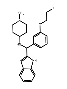 CN1CCC(NC(c2cccc(OCCF)c2)c2nc3ccccc3[nH]2)CC1